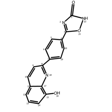 O=c1nc(-c2ccc(-c3ccc4cccc(O)c4n3)cc2)o[nH]1